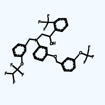 OC(CN(Cc1cccc(OC(F)(F)C(F)F)c1)c1cccc(OCc2cccc(OC(F)(F)F)c2)c1)c1ccccc1C(F)(F)F